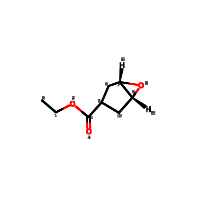 CCOC(=O)C1C[C@@H]2O[C@@H]2C1